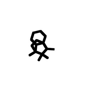 CC1C23CCCCC2C(C)(CC3)C1(C)C